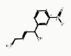 CCC=CC(O)c1cccc([N+](=O)[O-])c1